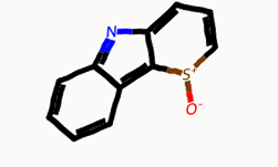 [O-][s+]1cccc2nc3ccccc3c1-2